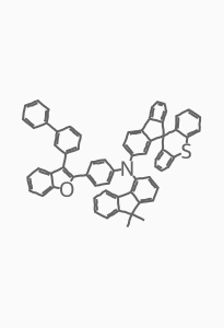 CC1(C)c2ccccc2-c2c(N(c3ccc(-c4oc5ccccc5c4-c4cccc(-c5ccccc5)c4)cc3)c3ccc4c(c3)C3(c5ccccc5Sc5ccccc53)c3ccccc3-4)cccc21